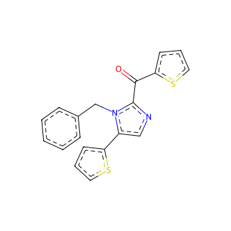 O=C(c1cccs1)c1ncc(-c2cccs2)n1Cc1ccccc1